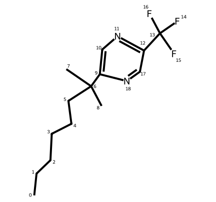 CCCCCCC(C)(C)c1cnc(C(F)(F)F)cn1